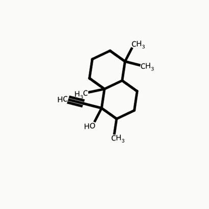 C#CC1(O)C(C)CCC2C(C)(C)CCCC21C